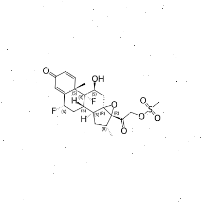 C[C@@H]1C[C@H]2[C@@H]3C[C@H](F)C4=CC(=O)C=C[C@]4(C)[C@@]3(F)[C@@H](O)C[C@@]23O[C@]13C(=O)COS(C)(=O)=O